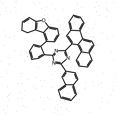 C1=Cc2oc3cccc(-c4ccccc4-c4nc(-c5ccc6ccccc6c5)nc(-c5cc6ccccc6c6ccc7ccccc7c56)n4)c3c2CC1